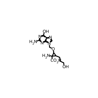 Nc1nc(O)c2ncn(COC3C(CCCO)C3(N)C(=O)O)c2n1